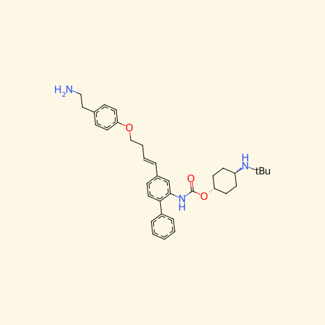 CC(C)(C)N[C@H]1CC[C@H](OC(=O)Nc2cc(/C=C/CCOc3ccc(CCN)cc3)ccc2-c2ccccc2)CC1